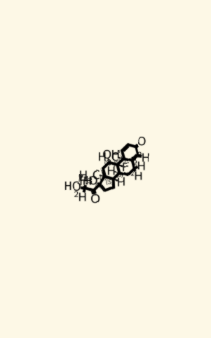 [2H]C1=C2C([2H])([2H])C[C@H]3[C@@H]4CC[C@](O)(C(=O)C([2H])([2H])O)[C@@]4(C)C[C@H](O)[C@]3(F)[C@@]2(C)C=CC1=O